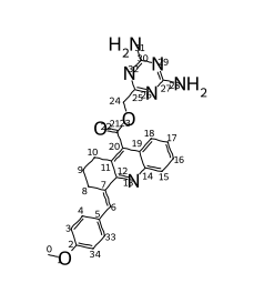 COc1ccc(C=C2CCCc3c2nc2ccccc2c3C(=O)OCc2nc(N)nc(N)n2)cc1